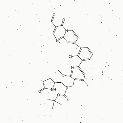 COc1nc(-c2cccc(-c3ccn4c(=O)c(C=O)cnc4c3)c2Cl)cc(F)c1CN(C[C@@H]1CCC(=O)N1)C(=O)OC(C)(C)C